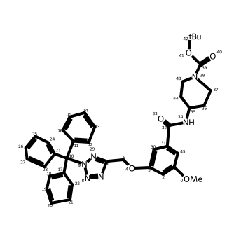 COc1cc(OCc2nnn(C(c3ccccc3)(c3ccccc3)c3ccccc3)n2)cc(C(=O)NC2CCN(C(=O)OC(C)(C)C)CC2)c1